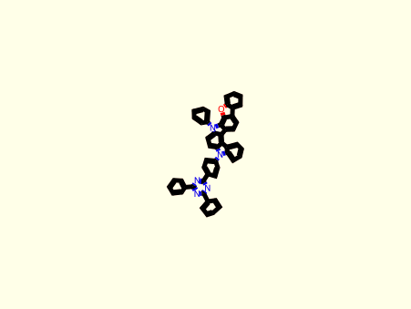 c1ccc(-c2nc(-c3ccccc3)nc(-c3ccc(-n4c5ccccc5c5c6c7ccc8c9ccccc9oc8c7n(-c7ccccc7)c6ccc54)cc3)n2)cc1